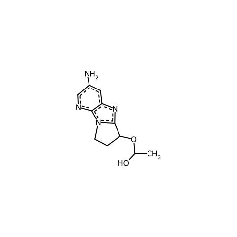 CC(O)OC1CCn2c1nc1cc(N)cnc12